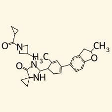 CC1=CC(c2ccc3c(c2)CC(C)O3)=CCC1C1NC2(CC2)C(=O)N1CC1CN(C(=O)C2CC2)C1